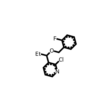 CCC(OCc1ccccc1F)c1cccnc1Cl